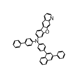 c1ccc(-c2ccc(N(c3ccc(-c4cc(-c5ccccc5)cc5ccccc45)cc3)c3ccc4c(c3)oc3cc5ncccc5cc34)cc2)cc1